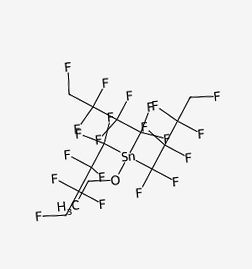 CC[O][Sn]([C](F)(F)C(F)(F)C(F)(F)CF)([C](F)(F)C(F)(F)C(F)(F)CF)[C](F)(F)C(F)(F)C(F)(F)CF